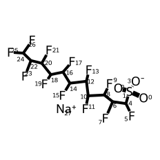 O=S(=O)([O-])C(F)C(F)C(F)C(F)C(F)C(F)C(F)C(F)C(F)C(F)C(F)F.[Na+]